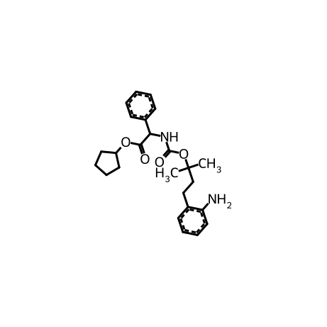 CC(C)(CCc1ccccc1N)OC(=O)NC(C(=O)OC1CCCC1)c1ccccc1